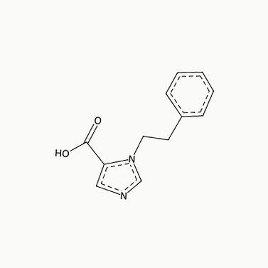 O=C(O)c1cncn1CCc1ccccc1